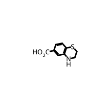 O=C(O)c1ccc2c(c1)NCCS2